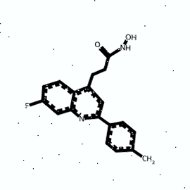 Cc1ccc(-c2cc(CCC(=O)NO)c3ccc(F)cc3n2)cc1